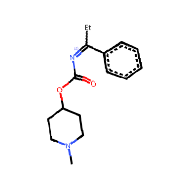 CC/C(=N/C(=O)OC1CCN(C)CC1)c1ccccc1